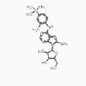 Cc1cc([Si](C)(C)C)ccc1Nc1ncnc2c1nc(N)n2C1OC(CO)C(O)C1O